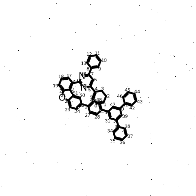 C1=CCCC(c2cc(-c3ccccc3)nc(-c3cccc4oc5ccc(-c6ccc(-c7cc(-c8ccccc8)cc(-c8ccccc8)c7)cc6)cc5c34)n2)=C1